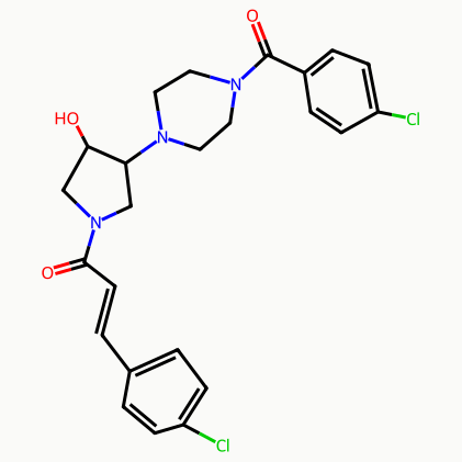 O=C(/C=C/c1ccc(Cl)cc1)N1CC(O)C(N2CCN(C(=O)c3ccc(Cl)cc3)CC2)C1